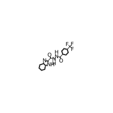 O=C(NNC(=O)c1nc2ccccc2[nH]1)c1ccc(C(F)(F)F)cc1